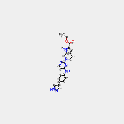 Cn1c(C(=O)OCC(F)(F)F)cc2c1CN(c1nccc(Nc3ccc(-c4cn[nH]c4)cc3)n1)CC2